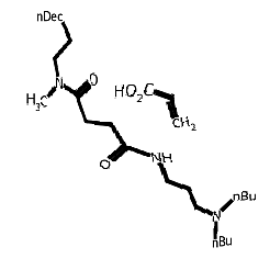 C=CC(=O)O.CCCCCCCCCCCCN(C)C(=O)CCC(=O)NCCCN(CCCC)CCCC